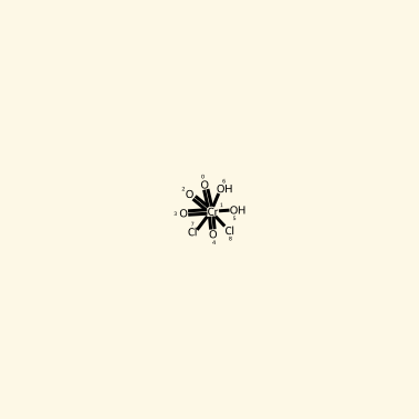 [O]=[Cr](=[O])(=[O])(=[O])([OH])([OH])([Cl])[Cl]